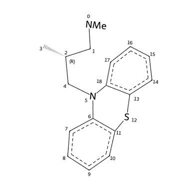 CNC[C@@H](C)CN1c2ccccc2Sc2ccccc21